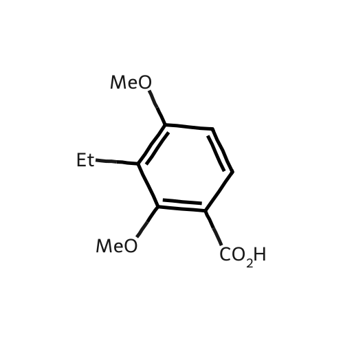 CCc1c(OC)ccc(C(=O)O)c1OC